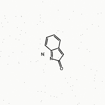 O=C1C=c2ccccc2=N1.[N]